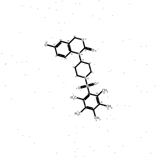 Cc1c(C)c(C)c(S(=O)(=O)N2CCC(N3C(=O)OCc4cc(Cl)ccc43)CC2)c(C)c1C